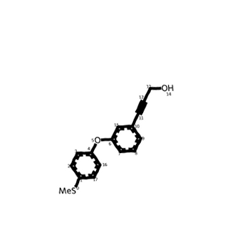 CSc1ccc(Oc2cccc(C#CCO)c2)cc1